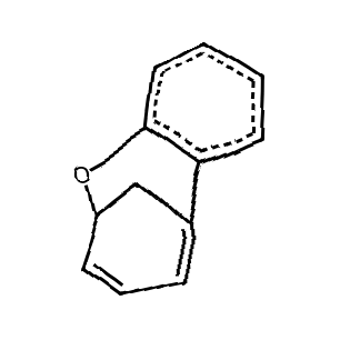 C1=CC2CC(=C1)c1ccccc1O2